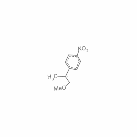 COC[C](C)c1ccc([N+](=O)[O-])cc1